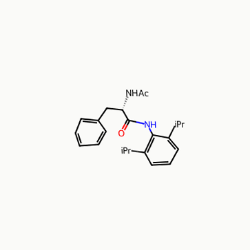 CC(=O)N[C@@H](Cc1ccccc1)C(=O)Nc1c(C(C)C)cccc1C(C)C